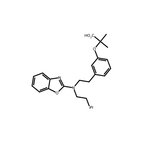 CC(C)CCN(CCc1cccc(OC(C)(C)C(=O)O)c1)c1nc2ccccc2o1